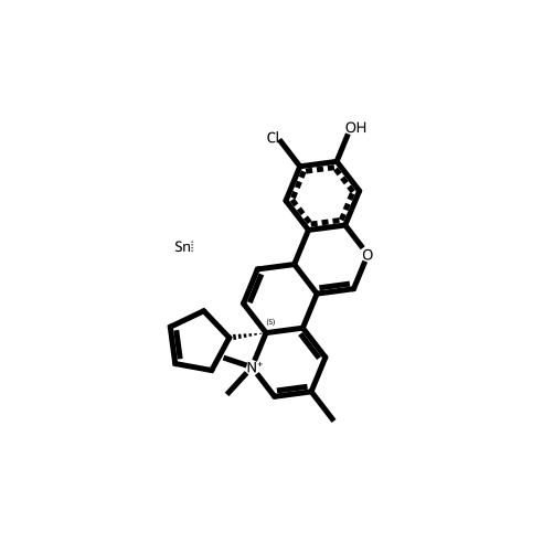 CC1=C[N+](C)(C)[C@@]2(C3CC=CC3)C=CC3C(=COc4cc(O)c(Cl)cc43)C2=C1.[Sn]